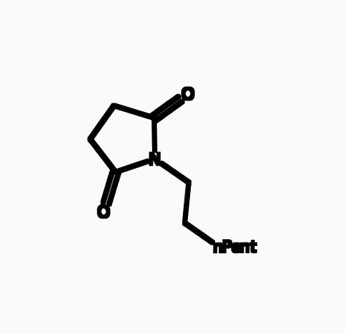 CCCCCCCN1C(=O)CCC1=O